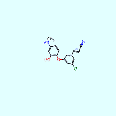 CNc1ccc(Oc2cc(Cl)cc(/C=C/C#N)c2)c(O)c1